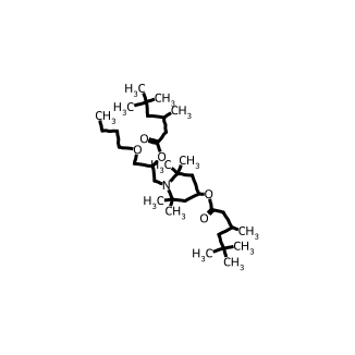 CCCCOCC(CN1C(C)(C)CC(OC(=O)CC(C)CC(C)(C)C)CC1(C)C)OC(=O)CC(C)CC(C)(C)C